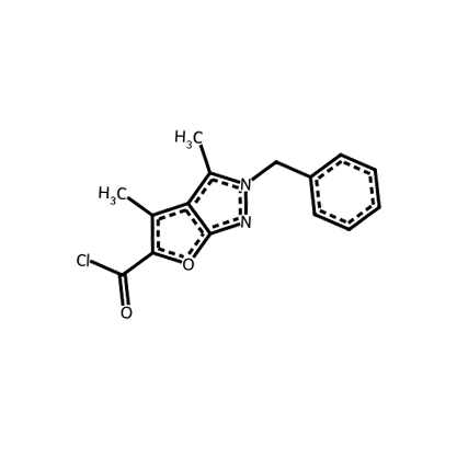 Cc1c(C(=O)Cl)oc2nn(Cc3ccccc3)c(C)c12